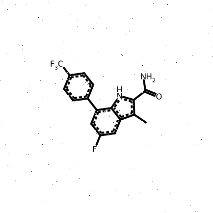 Cc1c(C(N)=O)[nH]c2c(-c3ccc(C(F)(F)F)cc3)cc(F)cc12